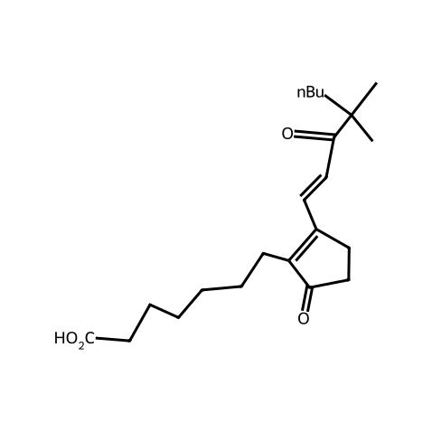 CCCCC(C)(C)C(=O)C=CC1=C(CCCCCCC(=O)O)C(=O)CC1